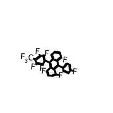 Fc1ccc(-c2c3ccccc3c(-c3c(F)c(F)c(C(F)(F)F)c(F)c3F)c3c(F)ccc(F)c23)c(F)c1